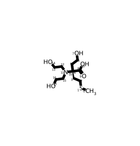 CSCC[C@@](CCO)(C(=O)O)N(CCO)CCO